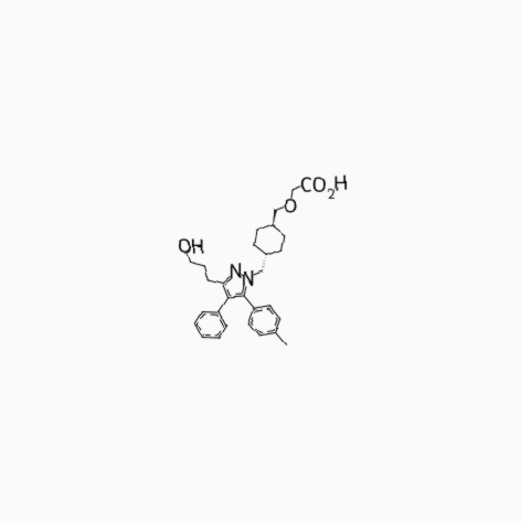 Cc1ccc(-c2c(-c3ccccc3)c(CCCO)nn2C[C@H]2CC[C@H](COCC(=O)O)CC2)cc1